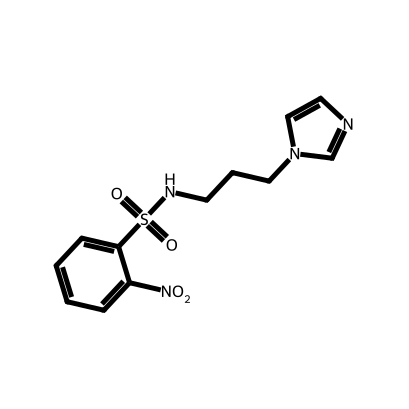 O=[N+]([O-])c1ccccc1S(=O)(=O)NCCCn1ccnc1